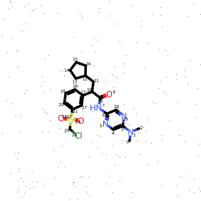 CN(C)c1cnc(NC(=O)C(CC2CCCC2)c2cccc(S(=O)(=O)CCl)c2)cn1